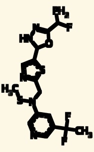 CSN(Cc1ncc(C2NN=C(C(F)P)O2)s1)c1cncc(C(C)(F)F)c1